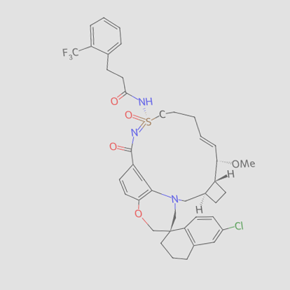 CO[C@H]1/C=C/CCC[S@@](=O)(NC(=O)CCc2ccccc2C(F)(F)F)=NC(=O)c2ccc3c(c2)N(C[C@@H]2CC[C@H]21)C[C@@]1(CCCc2cc(Cl)ccc21)CO3